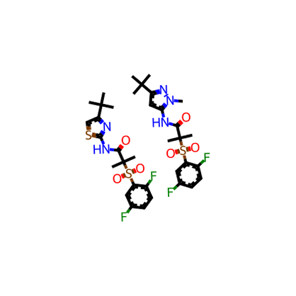 CC(C)(C)c1csc(NC(=O)C(C)(C)S(=O)(=O)c2cc(F)ccc2F)n1.Cn1nc(C(C)(C)C)cc1NC(=O)C(C)(C)S(=O)(=O)c1cc(F)ccc1F